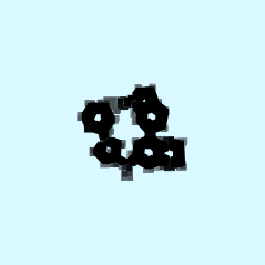 Cn1ccc2ccc(-c3cc(N[C@H]4CCN(c5ccccn5)C4)cc4nccnc34)cc21